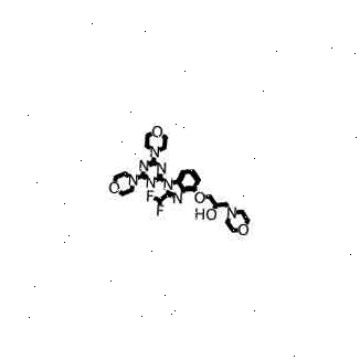 OC(COc1cccc2c1nc(C(F)F)n2-c1nc(N2CCOCC2)nc(N2CCOCC2)n1)CN1CCOCC1